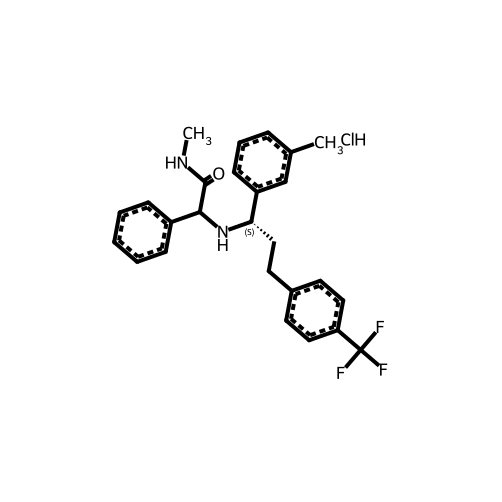 CNC(=O)C(N[C@@H](CCc1ccc(C(F)(F)F)cc1)c1cccc(C)c1)c1ccccc1.Cl